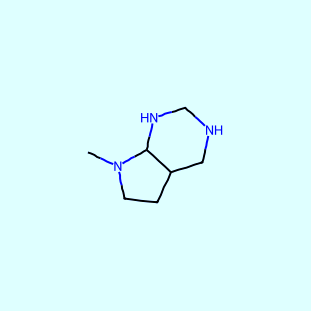 CN1CCC2CNCNC21